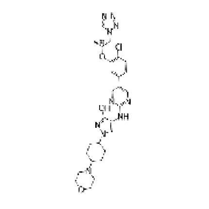 C[C@@H](Cn1cnnn1)Oc1cc(-c2cnc(Nc3cn(C4CCC(N5CCOCC5)CC4)nc3O)nc2)ccc1Cl